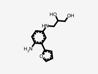 Nc1ccc(NCC(O)CO)cc1-c1ccco1